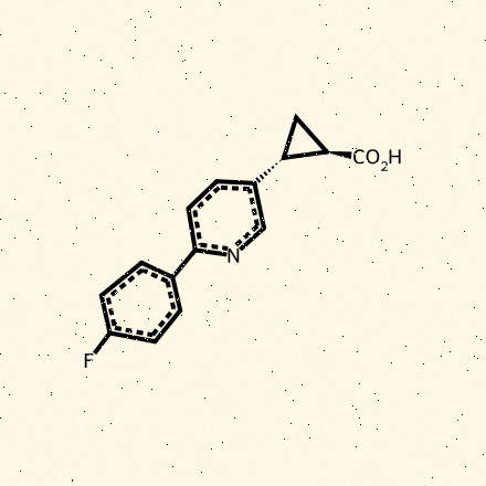 O=C(O)[C@@H]1C[C@H]1c1ccc(-c2ccc(F)cc2)nc1